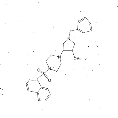 CC(=O)OC1CN(Cc2ccccc2)CC1N1CCN(S(=O)(=O)c2cccc3ccccc23)CC1